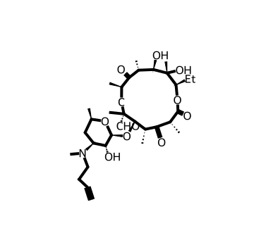 C#CCCN(C)[C@H]1C[C@@H](C)O[C@@H](O[C@@H]2[C@@H](C)C(=O)[C@@H](C)C(=O)O[C@H](CC)[C@@](C)(O)[C@H](O)[C@@H](C)C(=O)[C@H](C)C[C@@]2(C)C=O)[C@@H]1O